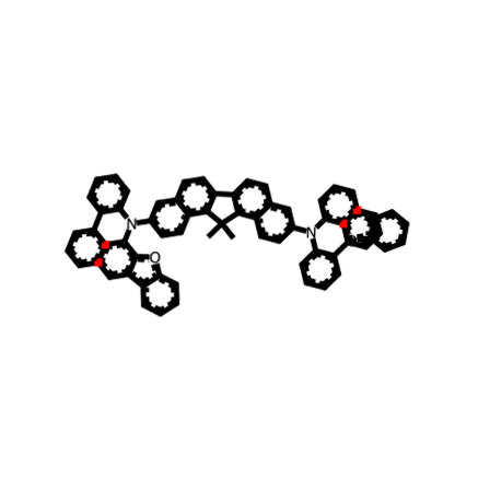 CC1(C)c2c(ccc3cc(N(c4ccccc4-c4ccccc4)c4cccc5c4oc4ccccc45)ccc23)-c2ccc3cc(N(c4ccccc4-c4ccccc4)c4cccc5c4oc4ccccc45)ccc3c21